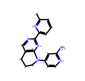 Cc1cccc(-c2ncc3c(n2)N(c2ccnc(N)c2)CCC3)n1